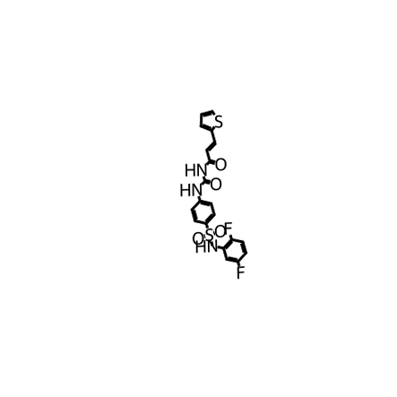 O=C(/C=C/c1cccs1)NC(=O)Nc1ccc(S(=O)(=O)Nc2cc(F)ccc2F)cc1